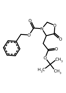 CC(C)(C)OC(=O)CC1C(=O)OCN1C(=O)OCc1ccccc1